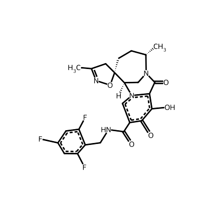 CC1=NO[C@@]2(CC[C@H](C)N3C[C@H]2n2cc(C(=O)NCc4c(F)cc(F)cc4F)c(=O)c(O)c2C3=O)C1